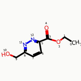 CCOC(=O)c1ccc(CO)nn1